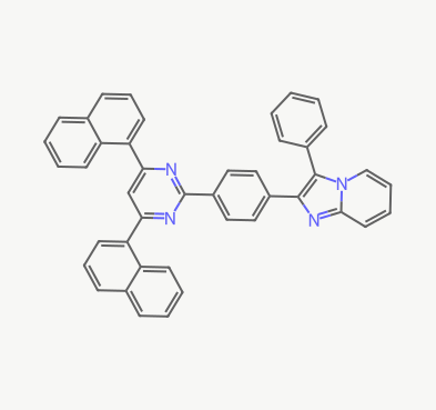 c1ccc(-c2c(-c3ccc(-c4nc(-c5cccc6ccccc56)cc(-c5cccc6ccccc56)n4)cc3)nc3ccccn23)cc1